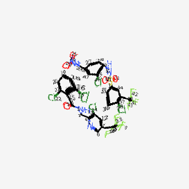 O=C(NCc1ncc(C(F)(F)F)cc1Cl)c1c(Cl)cccc1Cl.O=[N+]([O-])c1ccc(NS(=O)(=O)c2ccc(Cl)c(C(F)(F)F)c2)c(Cl)c1